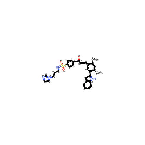 COc1cc(OC)c(-c2cc3ccccc3[nH]2)cc1C=CC(=O)c1ccc(S(=O)(=O)NCCCn2ccnc2)cc1